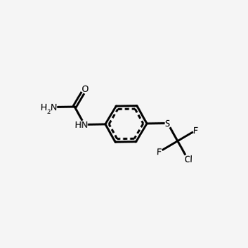 NC(=O)Nc1ccc(SC(F)(F)Cl)cc1